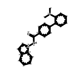 CN(C)c1ccccc1-c1ccc(C(=O)Nn2ccc3ccccc32)cc1